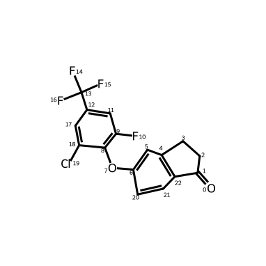 O=C1CCc2cc(Oc3c(F)cc(C(F)(F)F)cc3Cl)ccc21